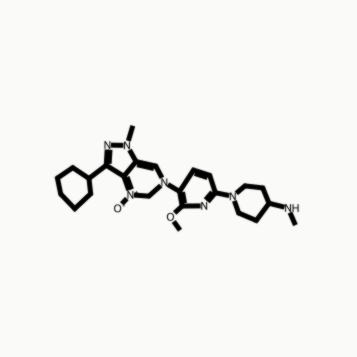 CNC1CCN(c2ccc(N3C=c4c(c(C5CCCCC5)nn4C)=[N+]([O-])C3)c(OC)n2)CC1